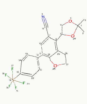 CC1(C)OCC(c2c(C#N)cc(-c3ccc(S(F)(F)(F)(F)F)cc3)c3c2CCO3)O1